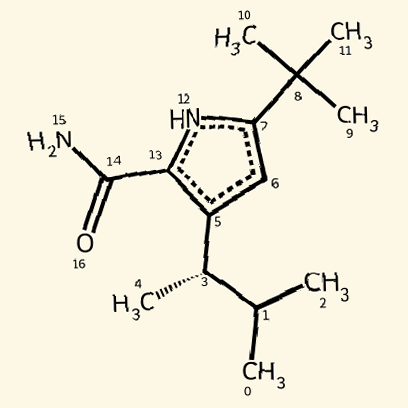 CC(C)[C@H](C)c1cc(C(C)(C)C)[nH]c1C(N)=O